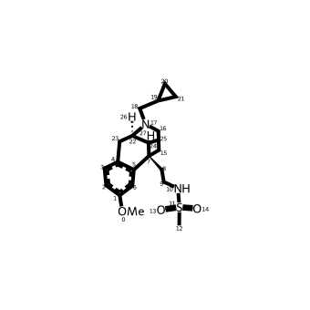 COc1ccc2c(c1)[C@@]1(CCNS(C)(=O)=O)CCN(CC3CC3)[C@H](C2)[C@@H]1C